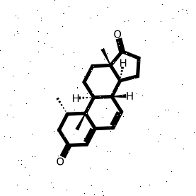 C[C@H]1CC(=O)C=C2C=C[C@@H]3[C@H](CC[C@]4(C)C(=O)CC[C@@H]34)[C@]21C